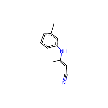 C/C(=C\C#N)Nc1cccc(C)c1